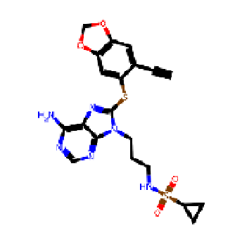 C#Cc1cc2c(cc1Sc1nc3c(N)ncnc3n1CCCNS(=O)(=O)C1CC1)OCO2